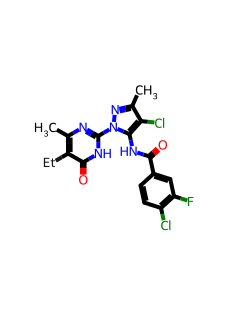 CCc1c(C)nc(-n2nc(C)c(Cl)c2NC(=O)c2ccc(Cl)c(F)c2)[nH]c1=O